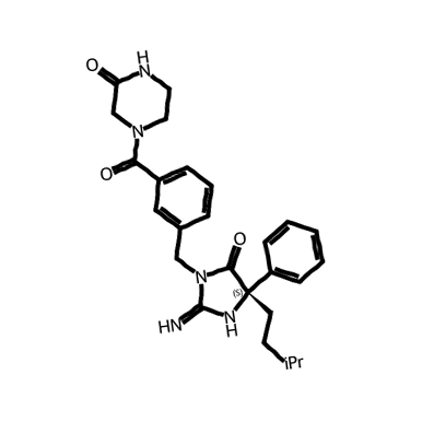 CC(C)CC[C@@]1(c2ccccc2)NC(=N)N(Cc2cccc(C(=O)N3CCNC(=O)C3)c2)C1=O